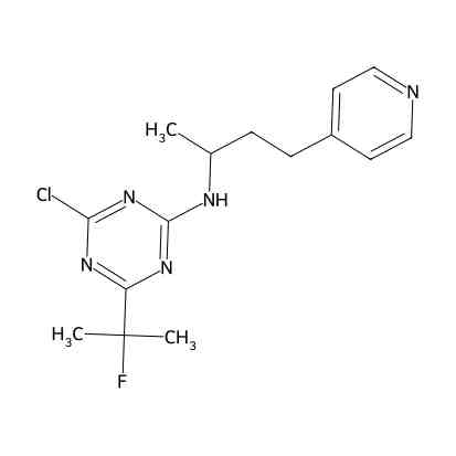 CC(CCc1ccncc1)Nc1nc(Cl)nc(C(C)(C)F)n1